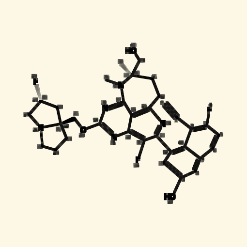 C#Cc1c(F)ccc2cc(O)cc(-c3nc4c5c(nc(OC[C@@]67CCCN6C[C@H](F)C7)nc5c3F)N(C)[C@@](C)(CO)CC4)c12